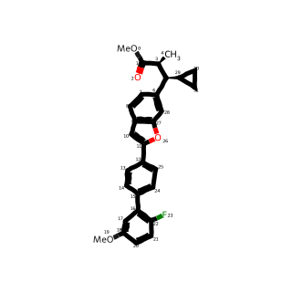 COC(=O)[C@@H](C)[C@H](c1ccc2cc(-c3ccc(-c4cc(OC)ccc4F)cc3)oc2c1)C1CC1